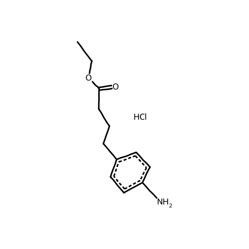 CCOC(=O)CCCc1ccc(N)cc1.Cl